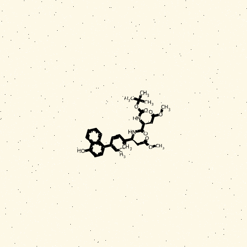 C=C(/C=C\C(=C/C)c1ccc(O)c2ccccc12)[C@H](CC(=O)OC)NC(=O)[C@H](CC(=O)OC)NC(=O)OC(C)(C)C